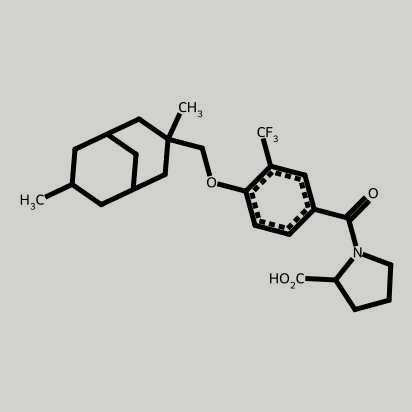 CC1CC2CC(C1)CC(C)(COc1ccc(C(=O)N3CCCC3C(=O)O)cc1C(F)(F)F)C2